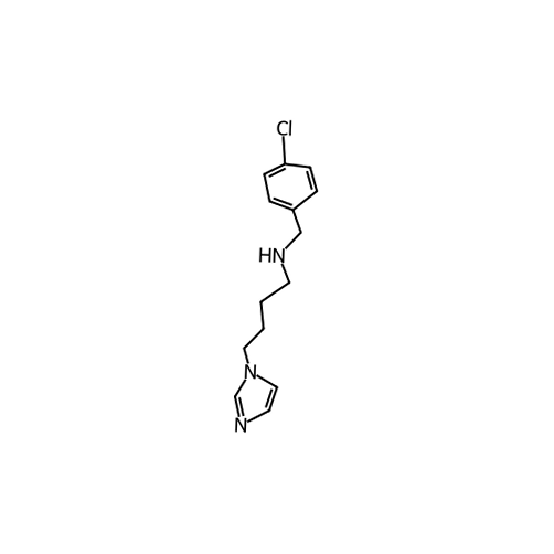 Clc1ccc(CNCCCCn2ccnc2)cc1